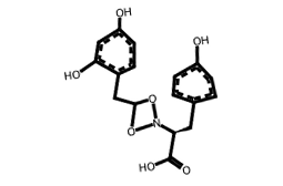 O=C(O)[C@H](Cc1ccc(O)cc1)N1OC(Cc2ccc(O)cc2O)O1